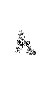 Cc1ccc(-c2cnc3c(N4CCC(C)CC4)cc(C(=O)NCc4ccc[n+]([O-])c4)cn23)s1